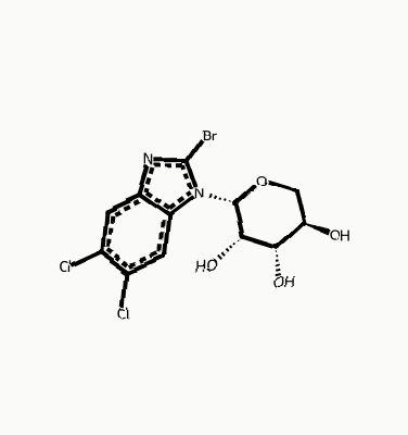 O[C@@H]1[C@H](O)[C@H](n2c(Br)nc3cc(Cl)c(Cl)cc32)OC[C@H]1O